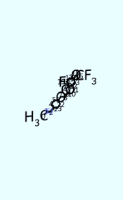 C/C=C/C1CCC(OCC2CCc3cc(OC(F)(F)F)cc(F)c3O2)CC1